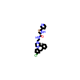 O=C(NCCN1CCN2c3ccc(Cl)cc3Cc3ccccc3[C@@H]2C1)[C@@H]1CSC(c2cccnc2)N1